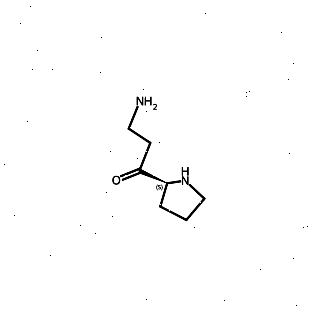 NCCC(=O)[C@@H]1CCCN1